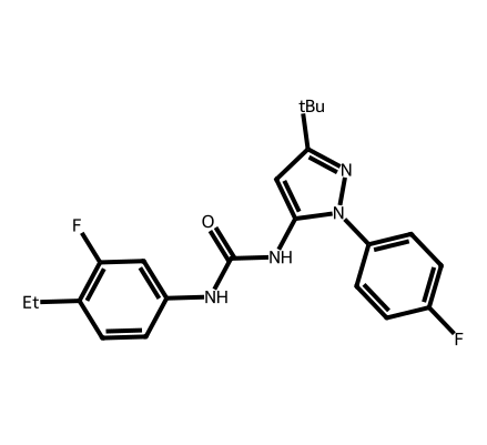 CCc1ccc(NC(=O)Nc2cc(C(C)(C)C)nn2-c2ccc(F)cc2)cc1F